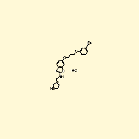 Cl.c1cc(OCCCOc2ccc3nc(NC[C@H]4CCNC4)oc3c2)cc(C2CC2)c1